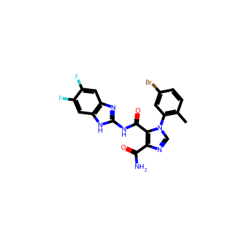 Cc1ccc(Br)cc1-n1cnc(C(N)=O)c1C(=O)Nc1nc2cc(F)c(F)cc2[nH]1